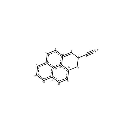 N#C[C]1C=c2ccc3cccc4ccc(c2c43)C1